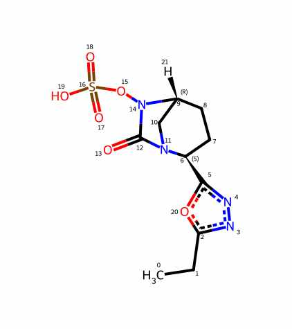 CCc1nnc([C@@H]2CC[C@@H]3CN2C(=O)N3OS(=O)(=O)O)o1